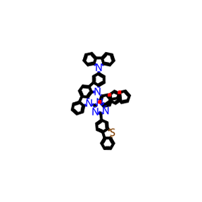 c1ccc(-c2cccc(-n3c4ccc(-n5c6ccccc6c6ccccc65)cc4c4ccc5c6ccccc6n(-c6nc(-c7ccccc7)nc(-c7ccc8c(c7)sc7ccccc78)n6)c5c43)c2)cc1